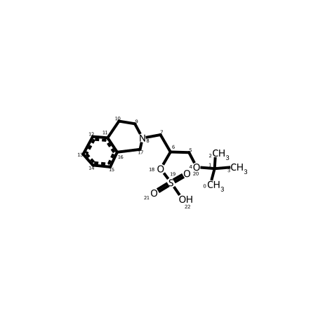 CC(C)(C)OCC(CN1CCc2ccccc2C1)OS(=O)(=O)O